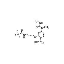 CNC(=O)N(C)c1ccc(C(=O)O)c(OCCCNC(=O)C(F)(F)F)c1